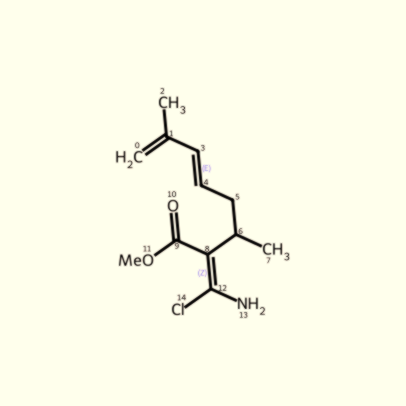 C=C(C)/C=C/CC(C)/C(C(=O)OC)=C(\N)Cl